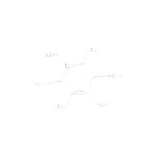 CCCCCCCCCCc1c(CCCCCCCCCC)c(CCCCCCCCCC)[n+](CCCCCCCCCC)c(CCCCCCCCCC)c1CCCCCCCCCC